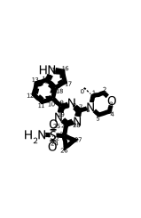 C[C@@H]1COCCN1c1nc(-c2cccc3[nH]ccc23)nc(C2(S(N)(=O)=O)CC2)n1